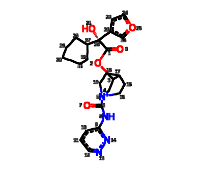 O=C(OC1C[N+]2(C(=O)Nc3cccnn3)CCC1CC2)[C@](O)(c1ccoc1)C1CCCCC1